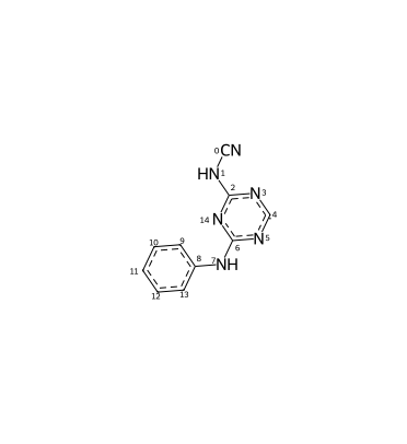 N#CNc1n[c]nc(Nc2ccccc2)n1